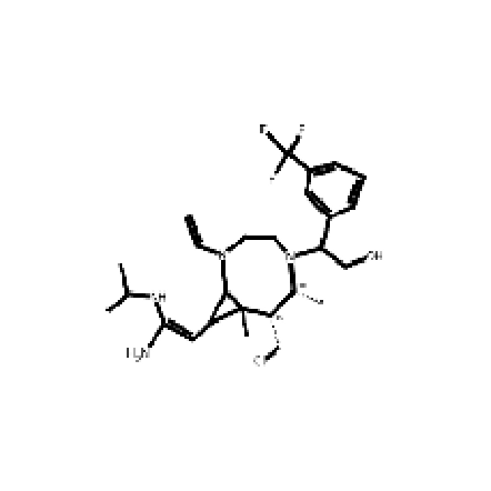 C=CN1CCN(C(CO)c2cccc(C(F)(F)F)c2)[C@H](C)[C@H](CCl)C2(C)C(C=C(N)NC(C)C)C12